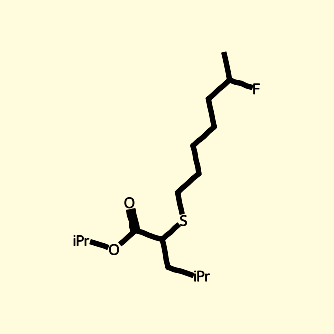 CC(C)CC(SCCCCCC(C)F)C(=O)OC(C)C